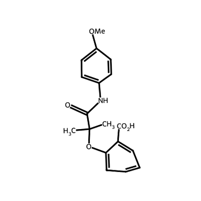 COc1ccc(NC(=O)C(C)(C)Oc2ccccc2C(=O)O)cc1